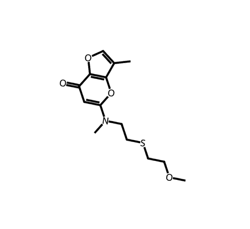 COCCSCCN(C)c1cc(=O)c2occ(C)c2o1